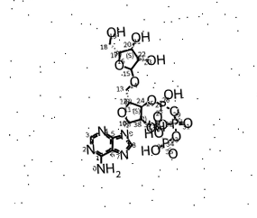 Nc1ncnc2c1ncn2[C@@H]1O[C@H](COC2O[C@H](CO)[C@@H](O)[C@@H]2O)[C@@H](OP(=O)(O)OP(=O)(O)OP(=O)(O)O)[C@H]1O